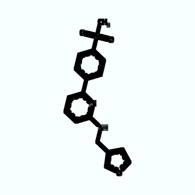 CS(=O)(=O)c1ccc(-c2cccc(NCc3ccoc3)n2)cc1